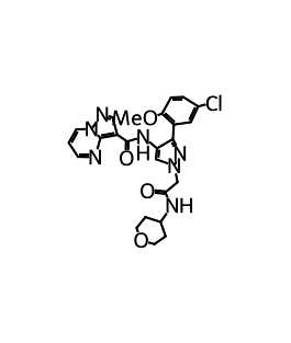 COc1ccc(Cl)cc1-c1nn(CC(=O)NC2CCOCC2)cc1NC(=O)c1cnn2cccnc12